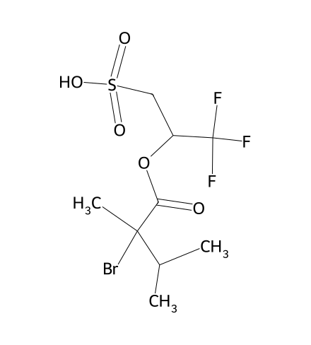 CC(C)C(C)(Br)C(=O)OC(CS(=O)(=O)O)C(F)(F)F